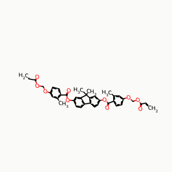 C=CC(=O)OCOc1ccc(C(=O)Oc2ccc3c(c2)C(C)(C)c2cc(OC(=O)c4ccc(OCOC(=O)C=C)cc4C)ccc2-3)c(C)c1